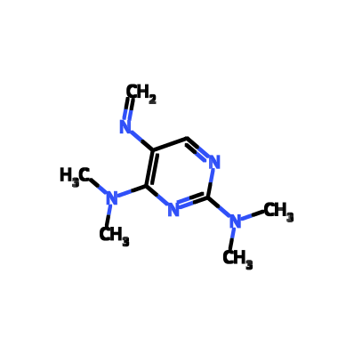 C=Nc1cnc(N(C)C)nc1N(C)C